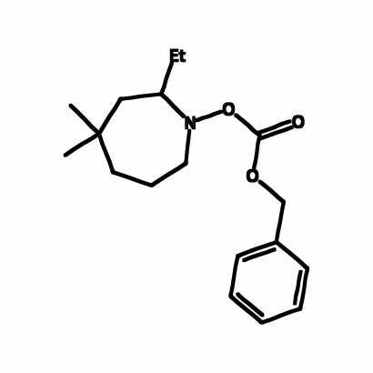 CCC1CC(C)(C)CCCN1OC(=O)OCc1ccccc1